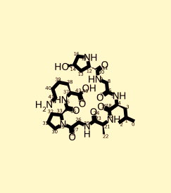 CC(C)C[C@H](NC(=O)CNC(=O)[C@@H]1C[C@@H](O)CN1)C(=O)N[C@@H](C)C(=O)NCC(=O)N1CCC[C@H]1C(=O)N[C@@H](CCCCN)C(=O)O